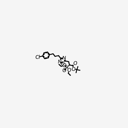 CCOP(=O)(OCC)C(Cc1nc(CCCc2ccc(Cl)cc2)no1)C(=O)OC(C)(C)C